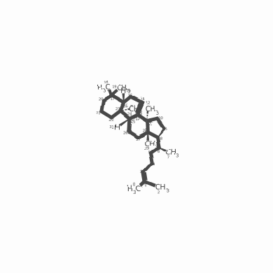 CC(C)=CCC[C@H](C)[C@@H]1CC[C@]2(C)C3=CC[C@H]4C(C)(C)CCC[C@]4(C)[C@H]3CC[C@@]12C